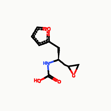 O=C(O)N[C@@H](Cc1ccco1)C1CO1